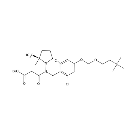 CC(C)COC(=O)CC(=O)N(Cc1c(Cl)cc(OCOCC[Si](C)(C)C)cc1Cl)N1CCC[C@]1(C)C(=O)O